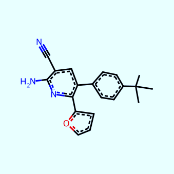 CC(C)(C)c1ccc(-c2cc(C#N)c(N)nc2-c2ccco2)cc1